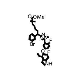 C=Cc1c(Oc2ccc(F)c(-c3nc(C(CCCCC(C)(C)C(=O)OC)c4cccc(Br)c4)nn3C)c2)c(F)cc2[nH]ccc12